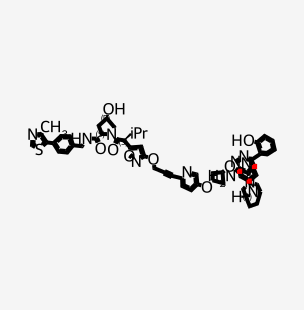 Cc1ncsc1-c1ccc(CNC(=O)[C@@H]2C[C@@H](O)CN2C(=O)[C@H](c2cc(OCC#Cc3ccc(OC4CC(Oc5cc(N6C7CC[C@@H]6CN(c6cc(-c8ccccc8O)nnc6N)C7)ccn5)C4)cn3)no2)C(C)C)cc1